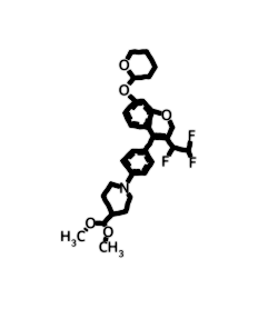 COC(OC)C1CCN(c2ccc(C3=C(C(F)C(F)F)COc4cc(OC5CCCCO5)ccc43)cc2)CC1